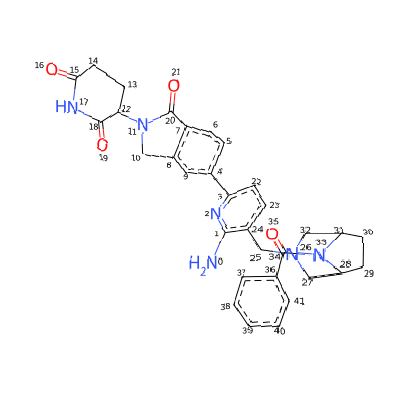 Nc1nc(-c2ccc3c(c2)CN(C2CCC(=O)NC2=O)C3=O)ccc1CN1CC2CCC(C1)N2C(=O)c1ccccc1